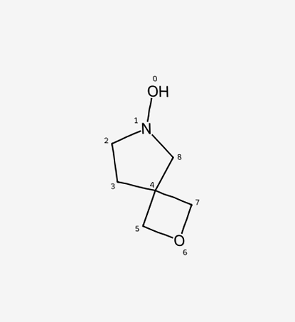 ON1CCC2(COC2)C1